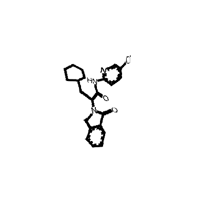 O=C(Nc1ccc(Cl)cn1)C(CC1CCCCC1)N1Cc2ccccc2C1=O